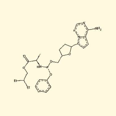 CCC(CC)COC(=O)C(C)NP(OCC1CCC(c2ccc3c(N)ncnn23)O1)Oc1ccccc1